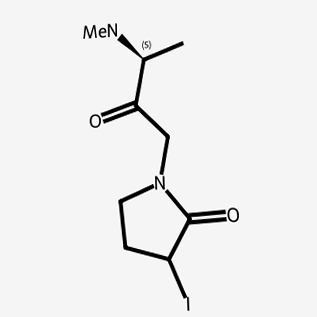 CN[C@@H](C)C(=O)CN1CCC(I)C1=O